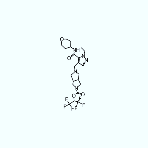 CCn1ncc(CN2CC3CN(C(=O)OC(C(F)(F)F)C(F)(F)F)CC3C2)c1C(=O)NC1CCOCC1